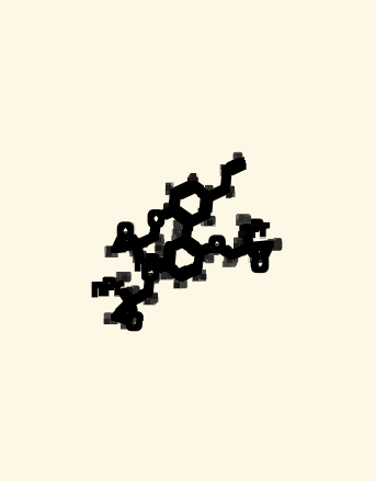 C=CCc1ccc(OCC2(CCC)CO2)c(-c2cc(OCC3(CCC)CO3)ccc2OCC2(CCC)CO2)c1